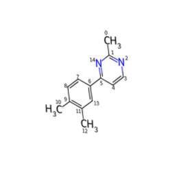 Cc1nccc(-c2ccc(C)c(C)c2)n1